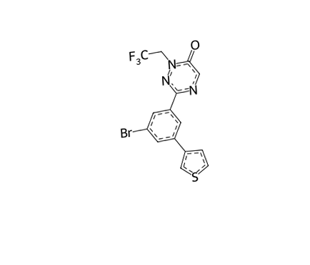 O=c1cnc(-c2cc(Br)cc(-c3ccsc3)c2)nn1CC(F)(F)F